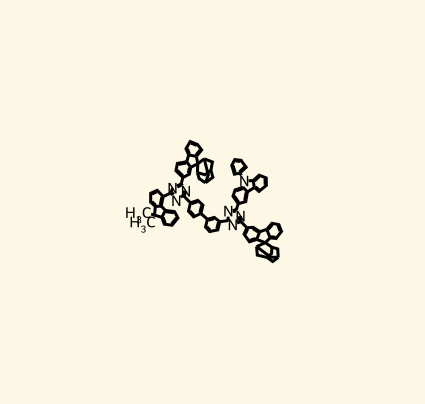 CC1(C)c2ccccc2-c2c(-c3nc(-c4ccc(-c5cccc(-c6nc(-c7ccc8c(c7)-c7ccccc7C87C8CC9CC(C8)CC7C9)nc(-c7ccc8c(c7)c7ccccc7n8-c7ccccc7)n6)c5)cc4)nc(-c4ccc5c(c4)C4(c6ccccc6-5)C5CC6CC(C5)CC4C6)n3)cccc21